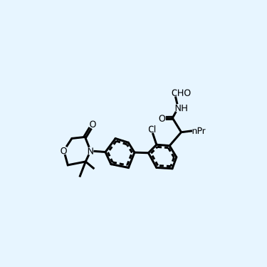 CCCC(C(=O)NC=O)c1cccc(-c2ccc(N3C(=O)COCC3(C)C)cc2)c1Cl